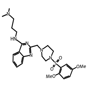 COc1ccc(OC)c(S(=O)(=O)N2CCN(Cc3nc(NCCCN(C)C)c4ccccc4n3)CC2)c1